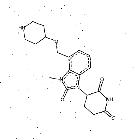 Cn1c(=O)n(C2CCC(=O)NC2=O)c2cccc(COC3CCNCC3)c21